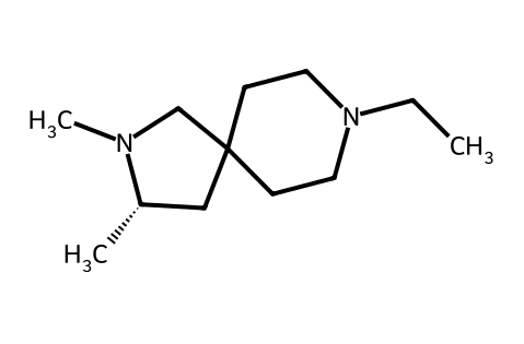 CCN1CCC2(CC1)C[C@H](C)N(C)C2